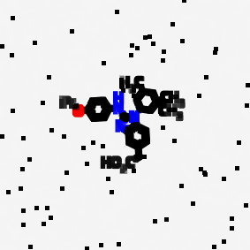 CC(C)Oc1ccc(Nc2nc3cc(CC(=O)O)ccc3n2[C@@H]2C[C@@H](C)CC(C)(C)C2)cc1